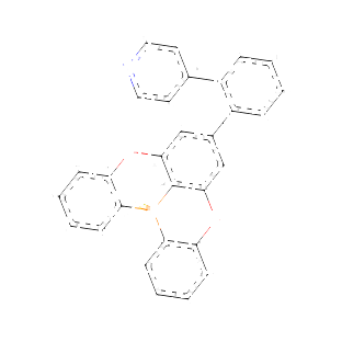 S=P12c3ccccc3Oc3cc(-c4ccccc4-c4ccncc4)cc(c31)Oc1ccccc12